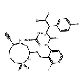 C#CC1CCCS(=O)(=O)NC(CCc2c(F)cccc2NC(=O)[C@@H](NC(=O)OC)C(c2ccc(Cl)cc2)C(CC)CC)CN1